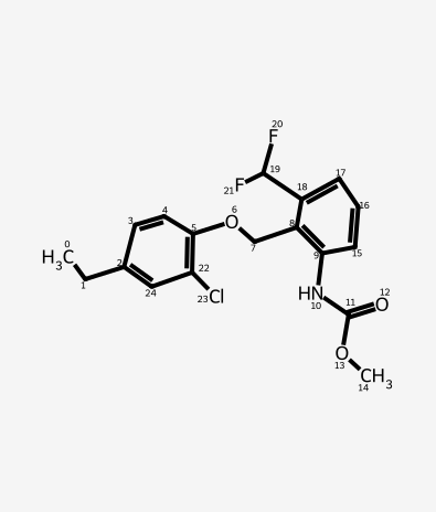 CCc1ccc(OCc2c(NC(=O)OC)cccc2C(F)F)c(Cl)c1